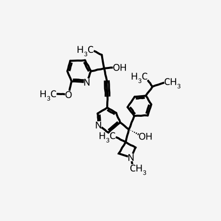 CCC(O)(C#Cc1cncc([C@@](O)(c2ccc(C(C)C)cc2)C2(C)CN(C)C2)c1)c1cccc(OC)n1